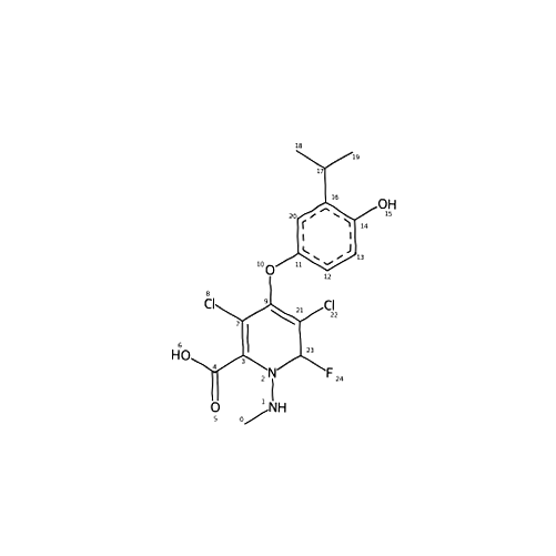 CNN1C(C(=O)O)=C(Cl)C(Oc2ccc(O)c(C(C)C)c2)=C(Cl)C1F